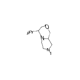 CC(C)C1COCC2CN(I)CCN21